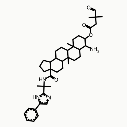 CC(C)(C=O)CC(=O)OC1CCC2(C)C(CCC3(C)C4CCC5(C(=O)NC(C)(C)c6ncc(-c7ccccc7)[nH]6)CCCC5C4CCC23)C1N